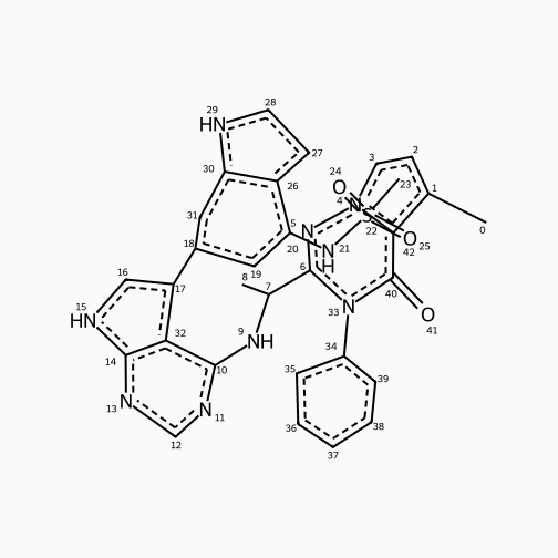 Cc1ccn2nc(C(C)Nc3ncnc4[nH]cc(-c5cc(NS(C)(=O)=O)c6cc[nH]c6c5)c34)n(-c3ccccc3)c(=O)c12